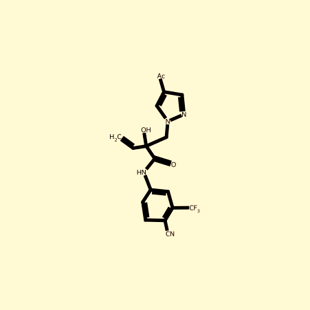 C=CC(O)(Cn1cc(C(C)=O)cn1)C(=O)Nc1ccc(C#N)c(C(F)(F)F)c1